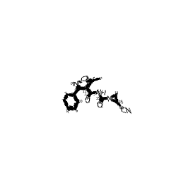 Cc1onc(-c2ccccc2)c1C(=O)NC(=O)N1CC1C#N